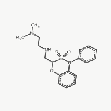 CN(C)CCNCC1Oc2ccccc2N(c2ccccc2)S1(=O)=O